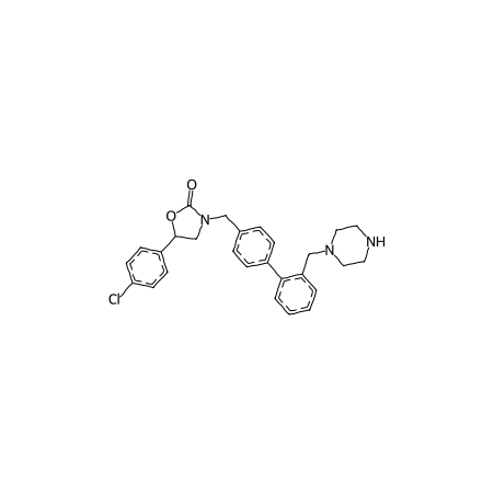 O=C1OC(c2ccc(Cl)cc2)CN1Cc1ccc(-c2ccccc2CN2CCNCC2)cc1